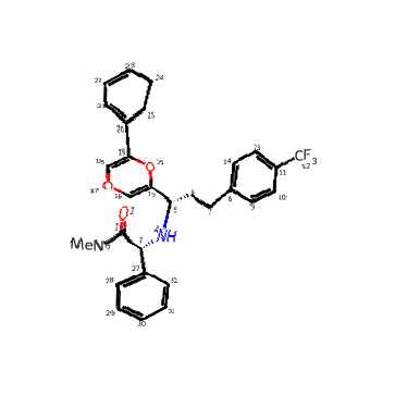 CNC(=O)[C@H](N[C@@H](CCc1ccc(C(F)(F)F)cc1)C1=COC=C(C2=CC=CCC2)O1)c1ccccc1